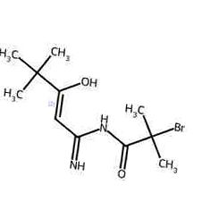 CC(C)(Br)C(=O)NC(=N)/C=C(\O)C(C)(C)C